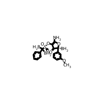 BC(B)(c1ccccc1)S(=O)(=O)OC1=C(N)O[C@@](B)(c2cccc(OC)c2)C1=O